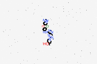 C=N/C(=N\c1c(C)ncnc1Nc1ccc(Oc2ccn3ncnc3c2)c(Cl)c1)N1CCC(C)(O)CC1